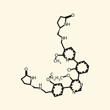 COc1cc(-c2ncnc(-c3cccc(-c4ccc(CNC[C@H]5CCC(=O)N5)c(OC)n4)c3Cl)c2OC)ccc1CNC[C@H]1CCC(=O)N1